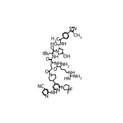 Cc1ncsc1-c1ccc([C@H](C)NC(O)[C@@H]2C[C@@H](O)CN2C(=O)[C@@H](NC(=O)[C@H](CCC(=O)N2CCC(c3cc(Nc4cc(C#N)ccn4)nc(N4CCC(F)(F)C4)c3)CC2)NC(=O)C(N)CCCNC(=N)N)C(C)(C)C)cc1